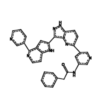 O=C(Cc1ccccc1)Nc1cncc(-c2ccc3[nH]nc(-c4cc5c(-c6cccnc6)nccc5[nH]4)c3n2)c1